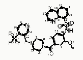 COC1CC(C(=O)N2CCN(Cc3cnccc3C(F)(F)F)CC2)=CC=C1NS(=O)(=O)c1cccc2cccnc12